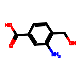 Nc1cc(C(=O)O)ccc1CO